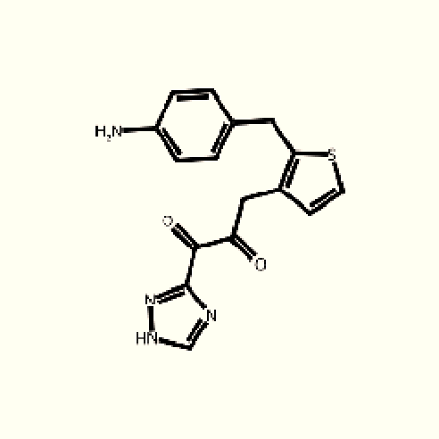 Nc1ccc(Cc2sccc2CC(=O)C(=O)c2nc[nH]n2)cc1